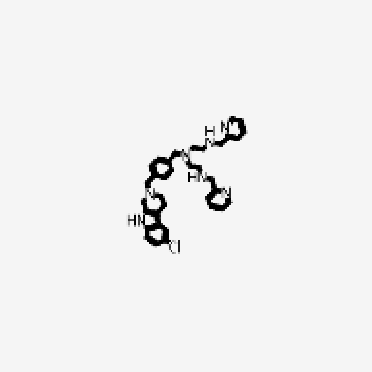 Clc1ccc2[nH]c3c(c2c1)CCN(Cc1ccc(CN(CCNCc2ccccn2)CCNCc2ccccn2)cc1)C3